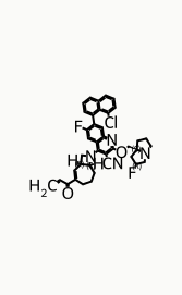 C=CC(=O)C1=C[C@@H]2CN(c3c(C#N)c(OC[C@@]45CCCN4C[C@H](F)C5)nc4cc(-c5cccc6cccc(Cl)c56)c(F)cc34)[C@@H]2CCC1